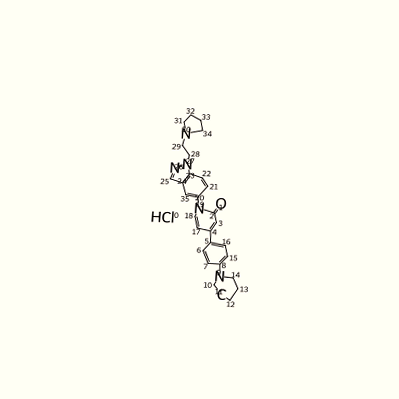 Cl.O=c1cc(-c2ccc(N3CCCCC3)cc2)ccn1-c1ccc2c(cnn2CCN2CCCC2)c1